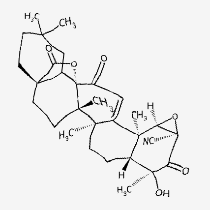 CC1(C)CC[C@@]23CC[C@@]4(C)[C@]5(C)CC[C@@H]6[C@@](C)(C5=CC(=O)[C@]4(OC2=O)C3C1)[C@H]1O[C@@]1(C#N)C(=O)[C@@]6(C)O